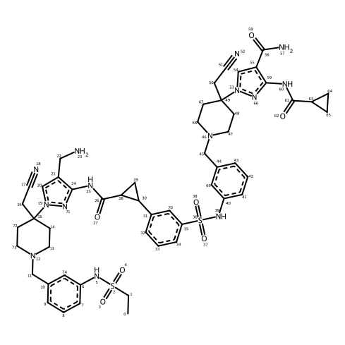 CCS(=O)(=O)Nc1cccc(CN2CCC(CC#N)(n3cc(CN)c(NC(=O)C4CC4c4cccc(S(=O)(=O)Nc5cccc(CN6CCC(CC#N)(n7cc(C(N)=O)c(NC(=O)C8CC8)n7)CC6)c5)c4)n3)CC2)c1